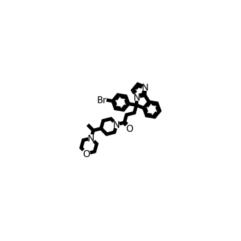 CC(C1CCN(C(=O)CCC2(c3ccc(Br)cc3)c3ccccc3-c3nccn32)CC1)N1CCOCC1